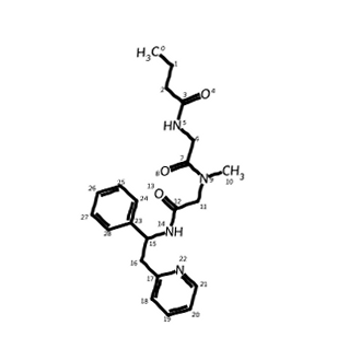 CCCC(=O)NCC(=O)N(C)CC(=O)NC(Cc1ccccn1)c1ccccc1